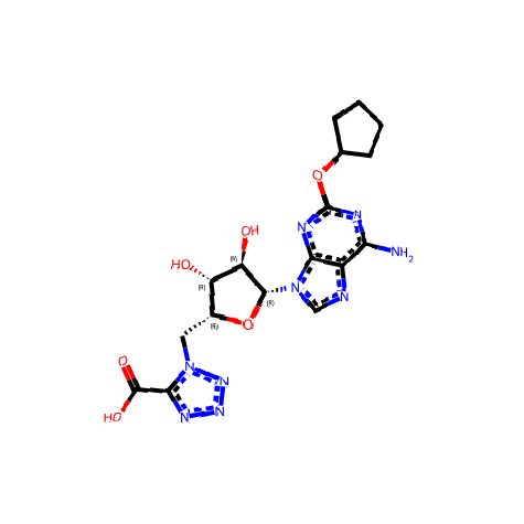 Nc1nc(OC2CCCC2)nc2c1ncn2[C@@H]1O[C@H](Cn2nnnc2C(=O)O)[C@H](O)[C@H]1O